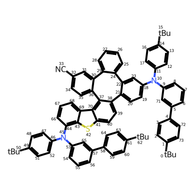 CC(C)(C)c1ccc(-c2cccc(N(c3ccc(C(C)(C)C)cc3)c3ccc4c(c3)-c3ccccc3-c3cc(C#N)ccc3-c3c-4ccc4sc5c(N(c6ccc(C(C)(C)C)cc6)c6cccc(-c7ccc(C(C)(C)C)cc7)c6)cccc5c34)c2)cc1